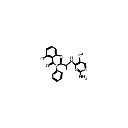 CSc1cnc(N)nc1NC(C)c1nc2cccc(Cl)c2c(=O)n1-c1ccccc1